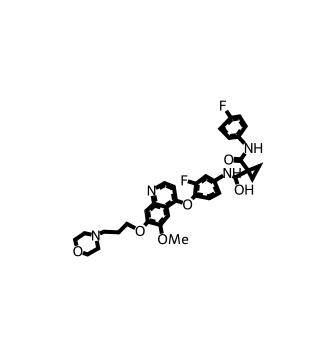 COc1cc2c(Oc3ccc(NC(O)C4(C(=O)Nc5ccc(F)cc5)CC4)cc3F)ccnc2cc1OCCCN1CCOCC1